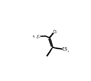 CC(=C(Cl)C(F)(F)F)C(F)(F)F